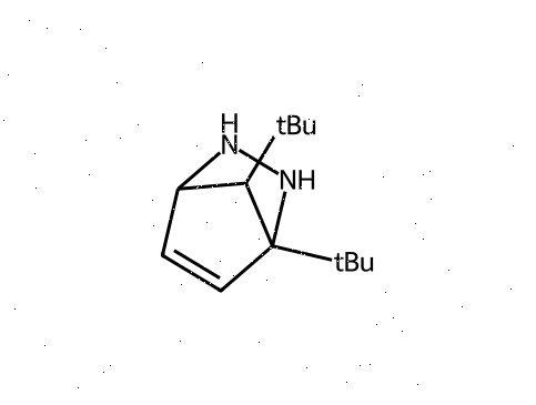 CC(C)(C)C1C2C=CC1(C(C)(C)C)NN2